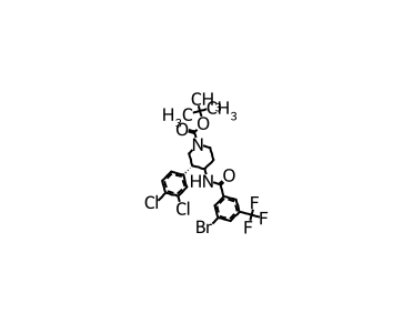 CC(C)(C)OC(=O)N1CCC(NC(=O)c2cc(Br)cc(C(F)(F)F)c2)[C@H](c2ccc(Cl)c(Cl)c2)C1